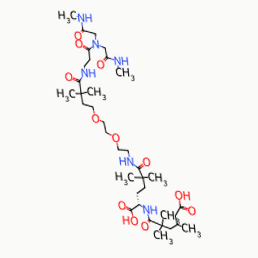 CNC(=O)CN(CC(=O)NC)C(=O)CCNC(=O)C(C)(C)CCOCCOCCNC(=O)C(C)(C)CC[C@H](NC(=O)C(C)(C)CC(C)CC(=O)O)C(=O)O